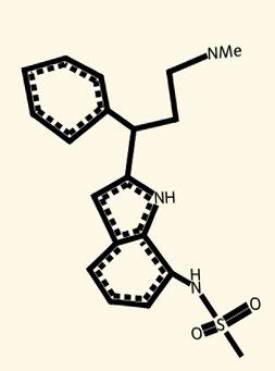 CNCCC(c1ccccc1)c1cc2cccc(NS(C)(=O)=O)c2[nH]1